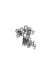 O=C(OS(=O)(=O)[O-])OS(=O)(=O)[O-].[MgH2].[MgH2].[Na+].[Na+]